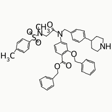 Cc1ccc(S(=O)(=O)N(C)CC(=O)N(Cc2ccc(C3CCNCC3)cc2)c2ccc(C(=O)OCc3ccccc3)c(OCc3ccccc3)c2)cc1